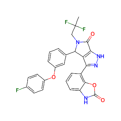 CC(F)(F)CN1C(=O)c2[nH]nc(-c3cccc4[nH]c(=O)oc34)c2C1c1cccc(Oc2ccc(F)cc2)c1